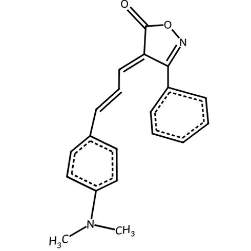 CN(C)c1ccc(C=CC=C2C(=O)ON=C2c2ccccc2)cc1